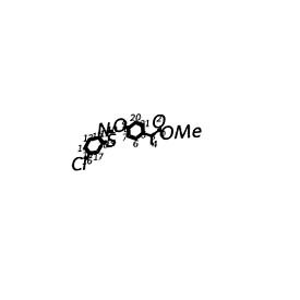 COC(=O)C(C)c1ccc(Oc2nc3ccc(Cl)cc3s2)cc1